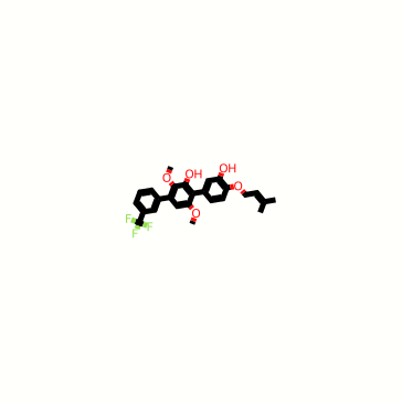 COc1cc(-c2cccc(C(F)(F)F)c2)c(OC)c(O)c1-c1ccc(OCC=C(C)C)c(O)c1